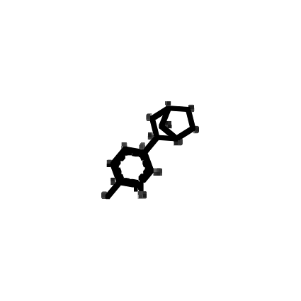 Cc1ccc(C2CC3CCC2C3)cn1